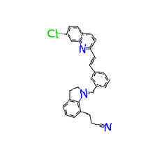 N#CCCc1cccc2c1N(Cc1cccc(C=Cc3ccc4ccc(Cl)cc4n3)c1)CC2